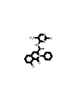 C[C@H](Nc1nc(Cl)ncc1[N+](=O)[O-])c1cc2cccc(Cl)c2c(=O)n1-c1ccccc1